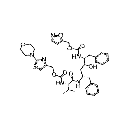 CC(C)[C@H](NC(=O)OCc1csc(N2CCOCC2)n1)C(=O)N[C@@H](Cc1ccccc1)C[C@H](O)[C@H](Cc1ccccc1)NC(=O)OCc1ccno1